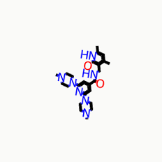 Cc1cc(C)c(CNC(=O)c2cc(N3CCN(C)CC3)nc(N3CCN(C)CC3)c2)c(=O)[nH]1